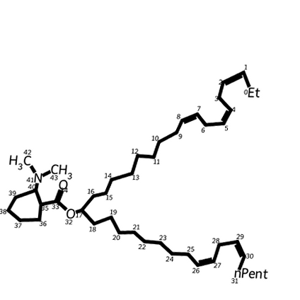 CC/C=C\C/C=C\C/C=C\CCCCCCCCC(CCCCCCCC/C=C\C/C=C\CCCCC)OC(=O)C1CCCCC1N(C)C